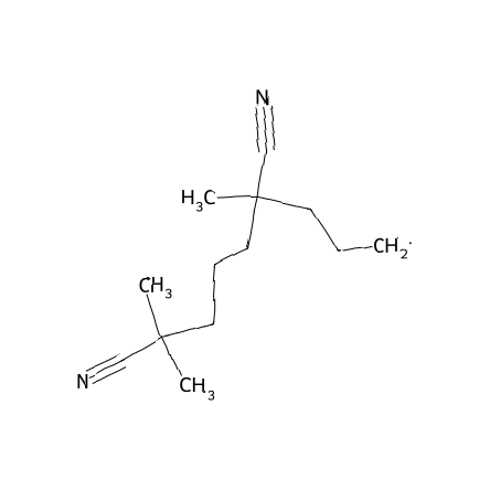 [CH2]CCC(C)(C#N)CCCC(C)(C)C#N